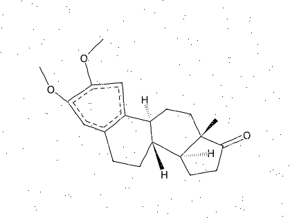 COc1cc2c(cc1OC)[C@H]1CC[C@]3(C)C(=O)CC[C@H]3[C@@H]1CC2